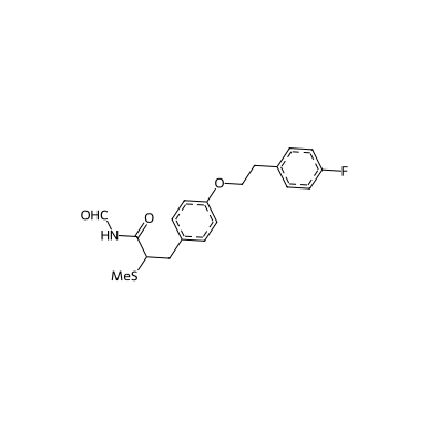 CSC(Cc1ccc(OCCc2ccc(F)cc2)cc1)C(=O)NC=O